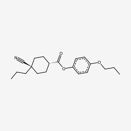 CCCOc1ccc(OC(=O)[C@H]2CC[C@@](C#N)(CCC)CC2)cc1